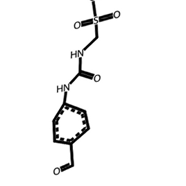 O=Cc1ccc(NC(=O)NCS(=O)(=O)O)cc1